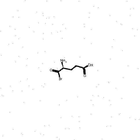 N[C@@H](CCC(=O)O)C(=O)Br